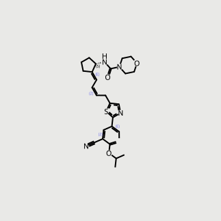 C=C(OC(C)C)/C(C#N)=C\C(=C/C)c1ncc(C/C=C\C=C2/CCC[C@@H]2NC(=O)N2CCOCC2)s1